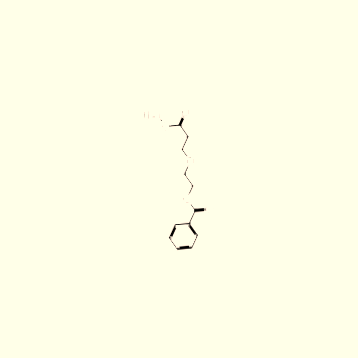 CC(C)(C)OC(=O)CCOCCOC(=O)c1ccccc1